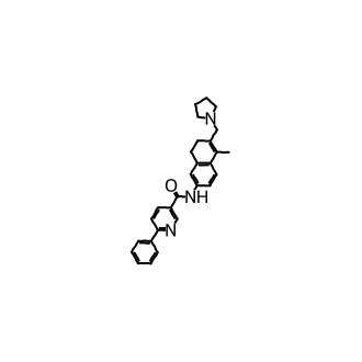 CC1=C(CN2CCCC2)CCc2cc(NC(=O)c3ccc(-c4ccccc4)nc3)ccc21